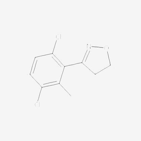 Cc1c(Cl)ccc(Cl)c1C1=NOCC1